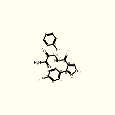 NC(=O)C(=O)[C@H](Cc1ccccc1)NC(=O)c1conc1-c1ccc(F)cc1